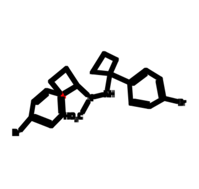 O=C(O)N(NC1(c2ccc(Br)cc2)CCC1)C1(c2ccc(Br)cc2)CCC1